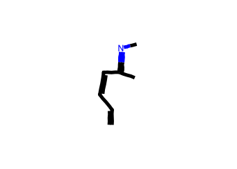 C=C/C=C\C(C)=N\C